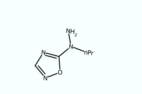 CCCN(N)c1ncno1